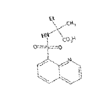 CCC(C)(NS(=O)(=O)c1cccc2cccnc12)C(=O)O